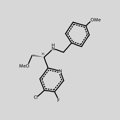 COC[C@H](NCc1ccc(OC)cc1)c1cc(Cl)c(F)cn1